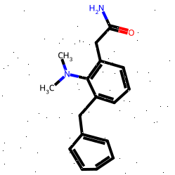 CN(C)c1c(CC(N)=O)cccc1Cc1ccccc1